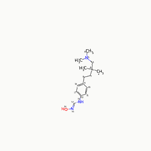 CN(C)CC(C)(C)CCc1ccc(NC=NO)cc1